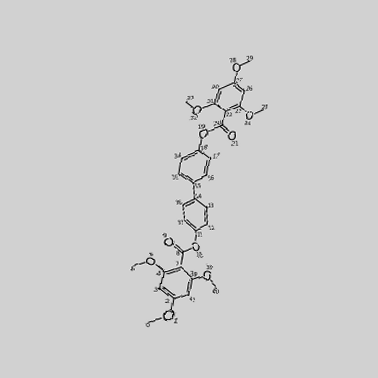 COc1cc(OC)c(C(=O)Oc2ccc(-c3ccc(OC(=O)c4c(OC)cc(OC)cc4OC)cc3)cc2)c(OC)c1